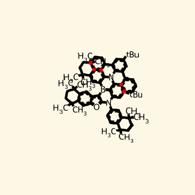 CC(C)(C)c1cc(-c2ccccc2)c(N2c3cc4c(cc3B3c5c(cc(C(C)(C)C)cc52)N(c2ccc5c(c2)C(C)(C)CCC5(C)C)c2oc5cc6c(cc5c23)C(C)(C)CCC6(C)C)C(C)(C)CCC4(C)C)c(-c2ccccc2)c1